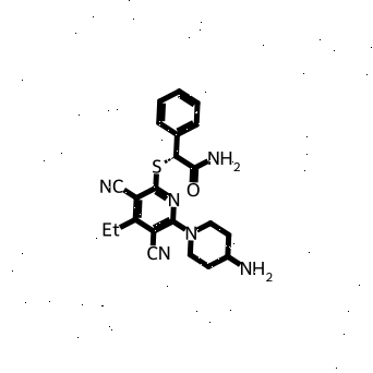 CCc1c(C#N)c(S[C@@H](C(N)=O)c2ccccc2)nc(N2CCC(N)CC2)c1C#N